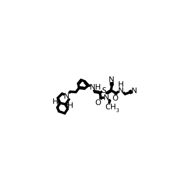 CCn1c(=C(C#N)C(=O)NCC#N)sc(=CNc2cccc(CCN3CC[C@H]4CCCC[C@@H]4C3)c2)c1=O